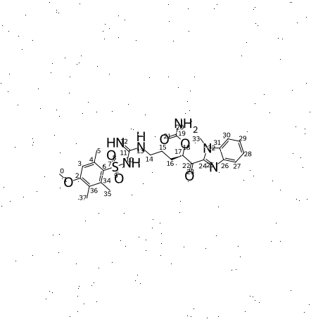 COc1cc(C)c(S(=O)(=O)NC(=N)NCCC[C@@H](OC(N)=O)C(=O)c2nc3ccccc3n2C)c(C)c1C